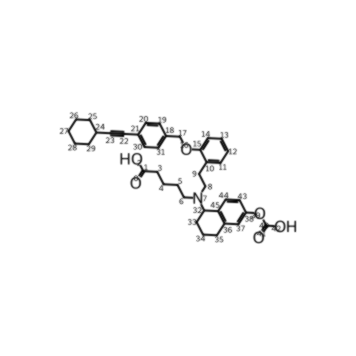 O=C(O)CCCCN(CCc1ccccc1OCc1ccc(C#CC2CCCCC2)cc1)C1CCCc2cc(OC(=O)O)ccc21